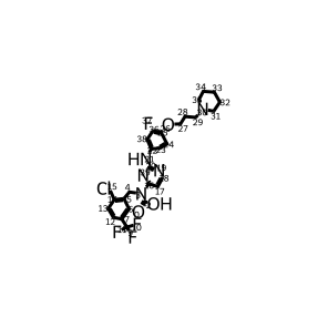 O=C(O)N(Cc1cc(C(F)(F)F)ccc1Cl)c1ccnc(Nc2ccc(OCCCN3CCCCC3)c(F)c2)n1